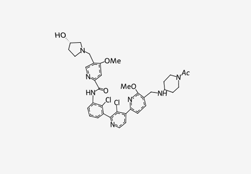 COc1cc(C(=O)Nc2cccc(-c3nccc(-c4ccc(CNC5CCN(C(C)=O)CC5)c(OC)n4)c3Cl)c2Cl)ncc1CN1CC[C@H](O)C1